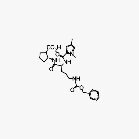 Cc1cc(C(=O)N[C@@H](CCCNC(=O)OCc2ccccc2)C(=O)N[C@H]2CCC[C@H]2C(=O)O)n(C)c1